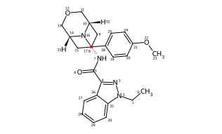 CCn1nc(C(=O)N[C@H]2C[C@H]3COC[C@@H](C2)N3Cc2ccc(OC)cc2)c2ccccc21